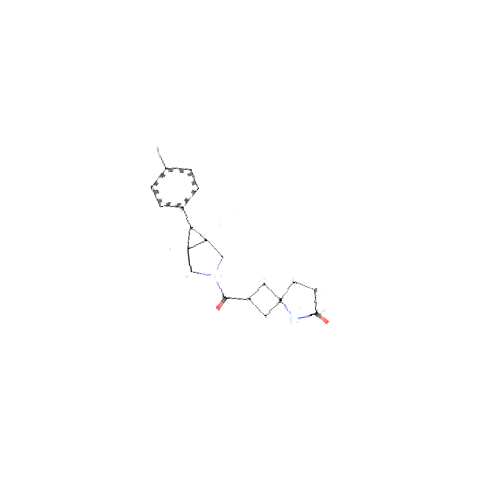 CC(C)c1ccc(C2[C@H]3CN(C(=O)C4CC5(CCC(=O)N5)C4)C[C@@H]23)cc1